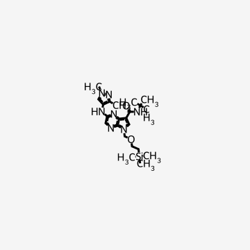 Cc1nn(C)cc1Nc1cnc2c(n1)c(C(=O)NC(C)(C)C)cn2COCC[Si](C)(C)C